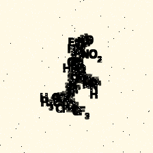 CCN1CCOCC1CNc1ccc(S(=O)(=O)NC(=O)c2ccc(N3CCN(CC4=C(c5ccc(C(F)(F)F)cc5Cl)CC(C)(C)CC4)CC3)cc2Oc2cnc3[nH]ccc3c2)cc1[N+](=O)[O-]